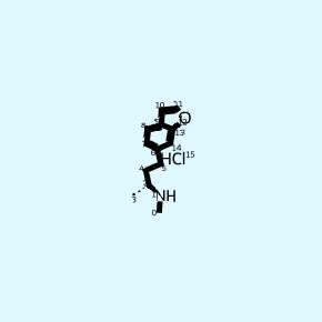 CN[C@H](C)CCc1ccc2ccoc2c1.Cl